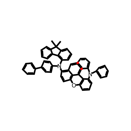 CC1(C)c2ccccc2-c2c(N(c3ccc(-c4ccccc4)cc3)c3ccc4c5c(cccc35)-c3c(cccc3N(c3ccccc3)c3ccccc3)O4)cccc21